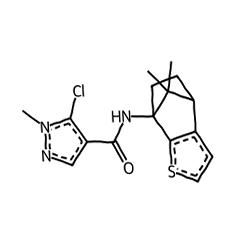 Cn1ncc(C(=O)NC23CCC(c4ccsc42)C3(C)C)c1Cl